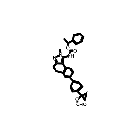 CC(OC(=O)Nc1c2c(nn1C)CCc1cc(-c3ccc(C4(OC=O)CC4)cc3)ccc1-2)c1ccccc1